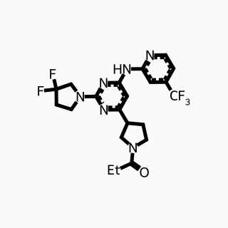 CCC(=O)N1CCC(c2cc(Nc3cc(C(F)(F)F)ccn3)nc(N3CCC(F)(F)C3)n2)C1